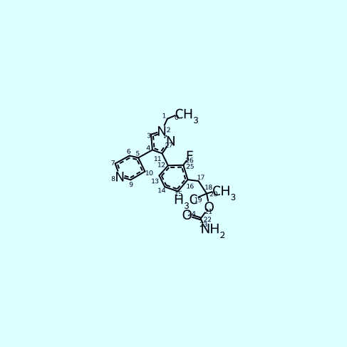 CCn1cc(-c2ccncc2)c(-c2cccc(CC(C)(C)OC(N)=O)c2F)n1